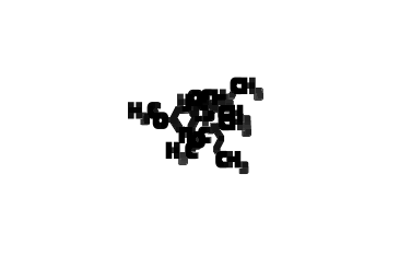 CCCC(C)(C)P(c1c(OC)cc(OC)cc1OC)C(C)(C)CCC